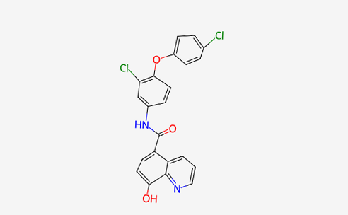 O=C(Nc1ccc(Oc2ccc(Cl)cc2)c(Cl)c1)c1ccc(O)c2ncccc12